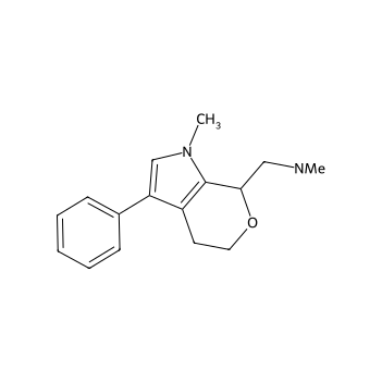 CNCC1OCCc2c(-c3ccccc3)cn(C)c21